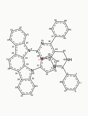 c1ccc(C2=Nc3nc(-n4c5ccccc5c5ccc6c7ccccc7n(-c7ccccc7)c6c54)nc(-c4ccccc4)c3CN2)cc1